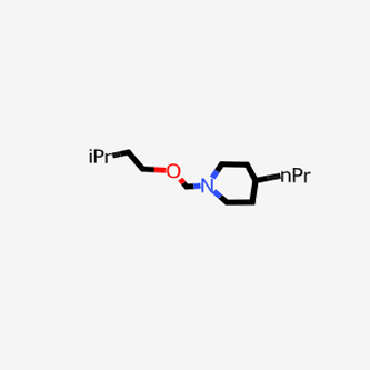 CCCC1CCN(COCCC(C)C)CC1